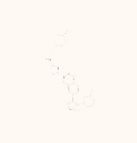 Cc1cccc(-c2[nH]cnc2-c2ccc3ncc(-c4csc(C(=O)OC[C@H]5CC[C@H](N)CC5)c4)cc3c2)n1